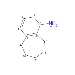 NC1CC=CC2=C1CCCCC2